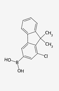 CC1(C)c2ccccc2-c2cc(B(O)O)cc(Cl)c21